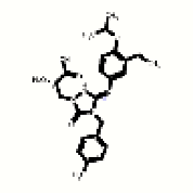 CCc1cc(/N=c2\[nH]n(C[C@H](C)C(=O)O)c(=O)n2Cc2ccc(C)cc2)ccc1OC(C)C